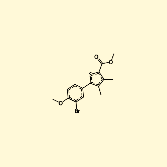 COC(=O)c1sc(-c2ccc(OC)c(Br)c2)c(C)c1C